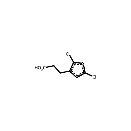 O=C(O)CCc1cc(Cl)sc1Cl